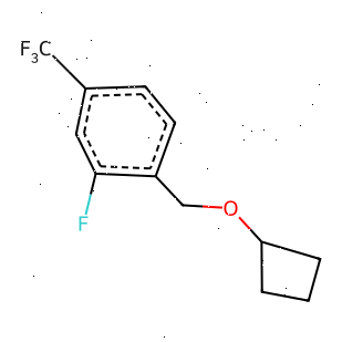 Fc1cc(C(F)(F)F)ccc1COC1CCC1